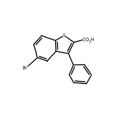 O=C(O)c1sc2ccc(Br)cc2c1-c1ccccc1